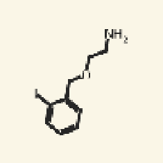 NCCOCc1ccccc1I